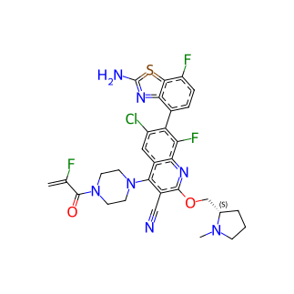 C=C(F)C(=O)N1CCN(c2c(C#N)c(OC[C@@H]3CCCN3C)nc3c(F)c(-c4ccc(F)c5sc(N)nc45)c(Cl)cc23)CC1